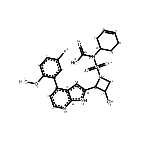 COc1ccc(F)cc1-c1ccnc2[nH]c(C3C(O)CN3S(=O)(=O)N(C(=O)O)C3CC=CCC3)cc12